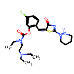 CCN(CC)CCN(CC)C(=O)Oc1cc(F)ccc1/C=C1/SC(N2CCCCN2)=NC1=O